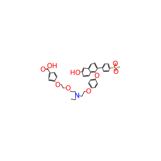 CCN(CCOCCOc1ccc(C(=O)O)cc1)CCOc1ccc(Oc2c(-c3ccc(S(C)(=O)=O)cc3)ccc3cc(O)ccc23)cc1